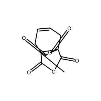 O=C1OC(=O)C23CC=CCC12C(=O)OC3=O